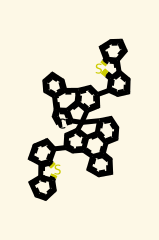 c1ccc2c(c1)sc1c(-c3cc4c5c(c3)c3ccccc3c3cccc(c35)C43c4cccc5c6ccccc6c6cc(-c7cccc8c7sc7ccccc78)cc3c6c45)cccc12